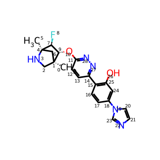 C[C@]12CN[C@](C)(C1)[C@@H](F)[C@@H]2Oc1ccc(-c2ccc(-n3ccnc3)cc2O)nn1